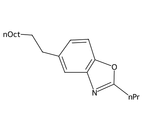 CCCCCCCCCCc1ccc2oc(CCC)nc2c1